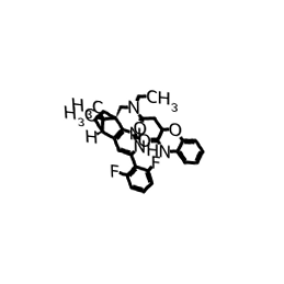 CCN(C[C@@]12CC[C@@H](c3cc(-c4c(F)cccc4F)nnc31)C2(C)C)C(=O)CC1Oc2ccccc2NC1=O